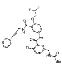 CC(C)(C)C(=O)NCc1ccc(Cl)c(C(=O)Nc2ccc(OCC(F)F)c(C(=O)NCC#Cc3ccccc3)c2)c1